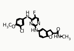 CNC(=O)C1Cc2cc(Nc3ncc(F)c(Nc4ccc(OC)c(Cl)c4)n3)ccc2O1